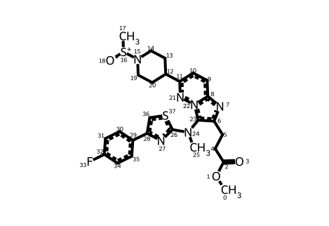 COC(=O)CCc1nc2ccc(C3CCN([S+](C)[O-])CC3)nn2c1N(C)c1nc(-c2ccc(F)cc2)cs1